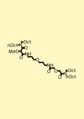 CCCCCCCCN(CCCCCCCC)C(=O)COCC(=O)NCCCOCCCNC(=O)C(OC)C(=O)N(CCCCCCCC)CCCCCCCC